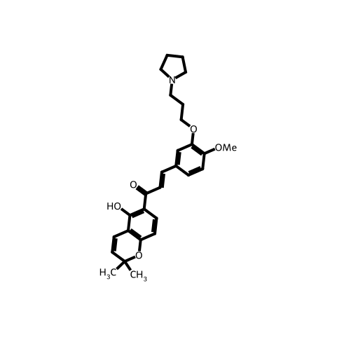 COc1ccc(/C=C/C(=O)c2ccc3c(c2O)C=CC(C)(C)O3)cc1OCCCN1CCCC1